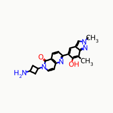 Cc1c(O)c(-c2ccc3c(=O)n(C4CC(N)C4)ccc3n2)cc2cn(C)nc12